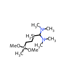 CO[Si](C)(CC[SiH2]C(N(C)C)N(C)C)OC